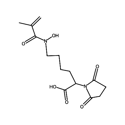 C=C(C)C(=O)N(O)CCCCC(C(=O)O)N1C(=O)CCC1=O